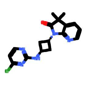 CC1(C)C(=O)N([C@H]2C[C@H](Nc3nccc(Cl)n3)C2)c2ncccc21